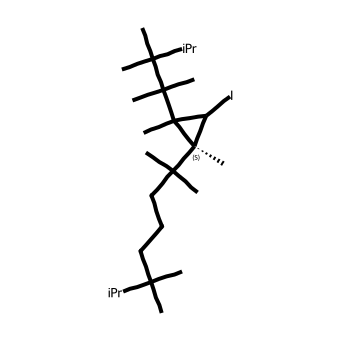 CC(C)C(C)(C)CCCC(C)(C)[C@]1(C)C(I)C1(C)C(C)(C)C(C)(C)C(C)C